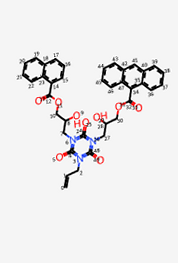 C=CCn1c(=O)n(CC(O)COC(=O)c2cccc3ccccc23)c(=O)n(CC(O)COC(=O)c2c3ccccc3cc3ccccc23)c1=O